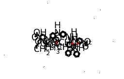 C=CCOc1c(Nc2ccc(C(=O)O)c(OCC=C)c2OC(C)C)ccc(Nc2ccc(NC[C@H](CC(=O)NC(c3ccccc3)(c3ccccc3)c3ccccc3)Nc3ccc([N+](=O)[O-])cc3)cc2)c1OC(C)C